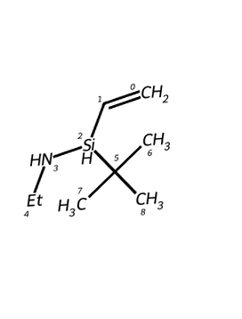 C=C[SiH](NCC)C(C)(C)C